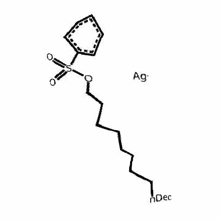 CCCCCCCCCCCCCCCCCCOS(=O)(=O)c1ccccc1.[Ag]